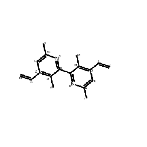 C=Cc1cc(C)nc(-c2nc(C)cc(C=C)c2C)c1C